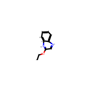 CCOc1[c]nc2ccccc2n1